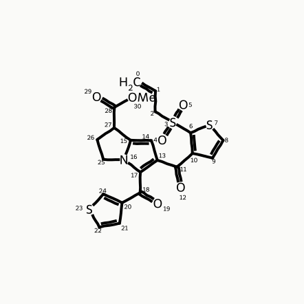 C=CCS(=O)(=O)c1sccc1C(=O)c1cc2n(c1C(=O)c1ccsc1)CCC2C(=O)OC